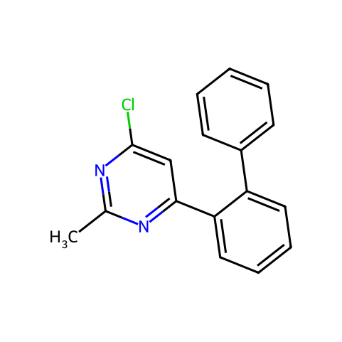 Cc1nc(Cl)cc(-c2ccccc2-c2ccccc2)n1